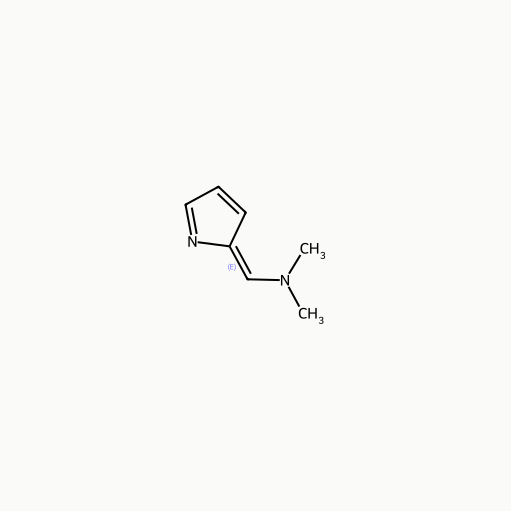 CN(C)/C=C1\C=CC=N1